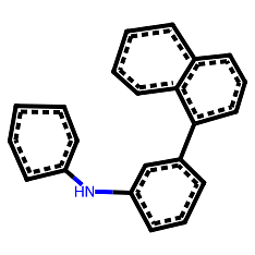 c1ccc(Nc2cccc(-c3cccc4ccccc34)c2)cc1